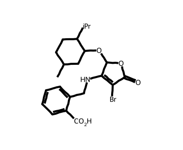 CC1CCC(C(C)C)C(OC2OC(=O)C(Br)=C2NCc2ccccc2C(=O)O)C1